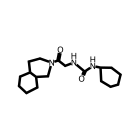 O=C(NCC(=O)N1CCC2CCCCC2C1)NC1CCCCC1